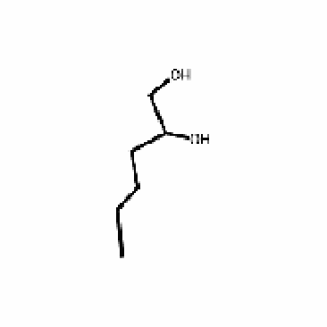 CCCCC(O)CO